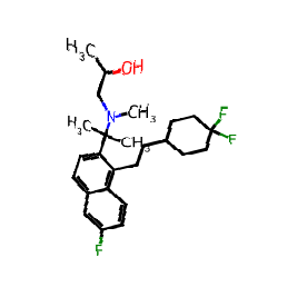 CC(O)CN(C)C(C)(C)c1ccc2cc(F)ccc2c1CCC1CCC(F)(F)CC1